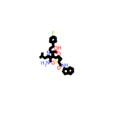 CC(C)Cc1nc(CCc2ccc(F)cc2)c(C(=O)O)c(-c2ccc(C(=O)N[C@@H]3CCc4ccccc43)s2)c1C(N)=O